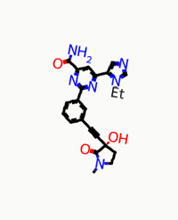 CCn1cncc1-c1cc(C(N)=O)nc(-c2cccc(C#C[C@]3(O)CCN(C)C3=O)c2)n1